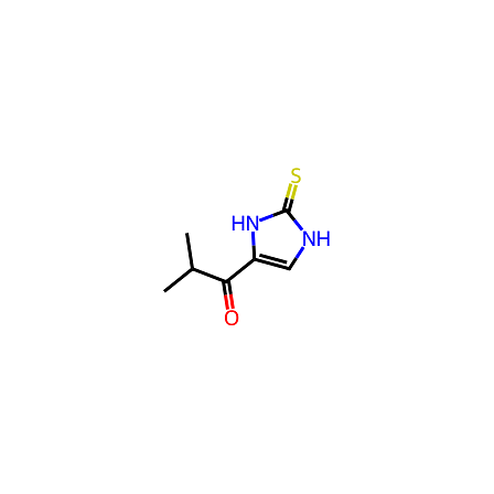 CC(C)C(=O)c1c[nH]c(=S)[nH]1